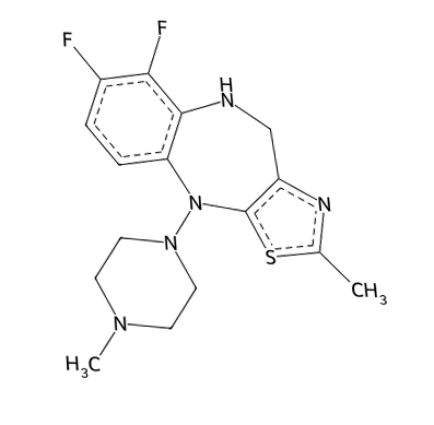 Cc1nc2c(s1)N(N1CCN(C)CC1)c1ccc(F)c(F)c1NC2